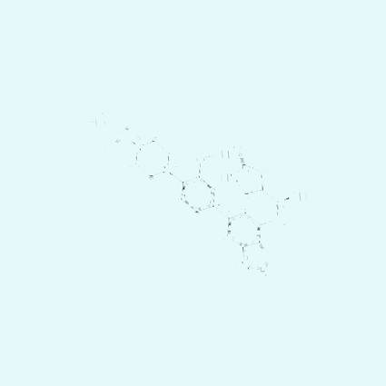 COc1cc(-c2cc(O[C@H](C)C3CNC(=O)C3)c3scnc3c2)ccc1N1CCN(S(C)(=O)=O)CC1